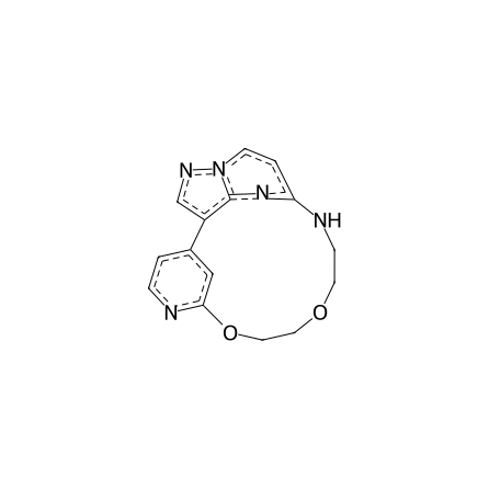 c1cc2cc(n1)OCCOCCNc1ccn3ncc-2c3n1